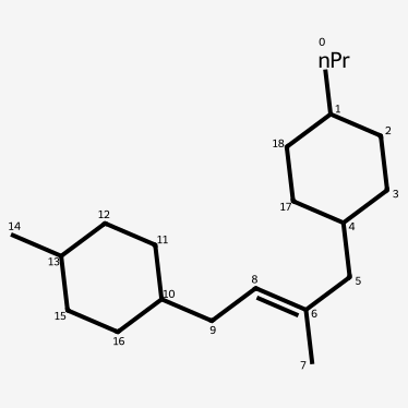 CCCC1CCC(CC(C)=CCC2CCC(C)CC2)CC1